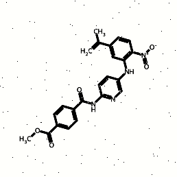 C=C(C)c1ccc([N+](=O)[O-])c(Nc2ccc(NC(=O)c3ccc(C(=O)OC)cc3)nc2)c1